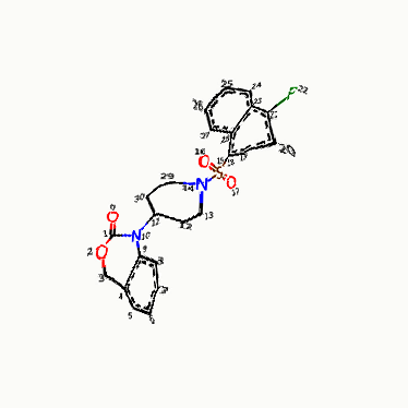 O=C1OCc2ccccc2N1C1CCN(S(=O)(=O)c2ccc(F)c3ccccc23)CC1